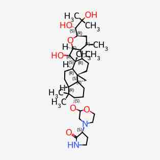 C[C@@H]1C[C@H]([C@H](O)C(C)(C)O)O[C@H]2C1[C@@]1(C)CC[C@@]34C[C@@]35CC[C@H](OC3CN([C@H]6CCNC6=O)CCO3)C(C)(C)[C@@H]5CC[C@H]4[C@]1(C)[C@H]2O